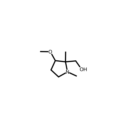 COC1CCN(C)C1(C)CO